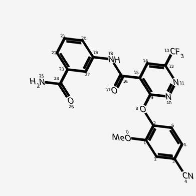 COc1cc(C#N)ccc1Oc1nnc(C(F)(F)F)cc1C(=O)Nc1cccc(C(N)=O)c1